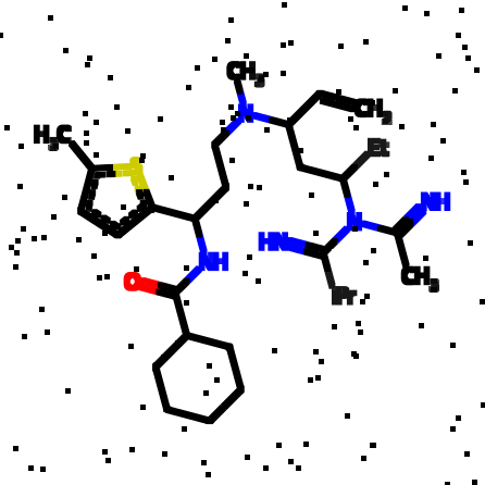 C=CC(CC(CC)N(C(C)=N)C(=N)C(C)C)N(C)CCC(NC(=O)C1CCCCC1)c1ccc(C)s1